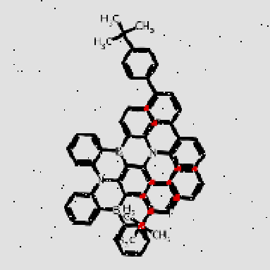 CC(C)(C)c1ccc(-c2ccc(-c3cccc(-c4ccc(C(C)(C)C)cc4)c3N3c4ccccc4B4c5ccccc5N5c6ccccc6B6c7ccccc7Sc7c6c5c4c3c7-c3c(F)cccc3F)cc2)cc1